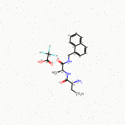 C[C@H](NC(=O)[C@@H](N)CC(=O)O)C(=O)NCc1cccc2ccccc12.O=C(O)C(F)(F)F